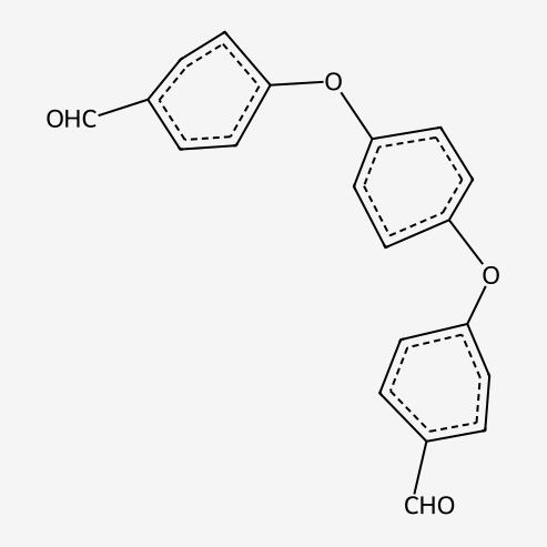 O=Cc1ccc(Oc2ccc(Oc3ccc(C=O)cc3)cc2)cc1